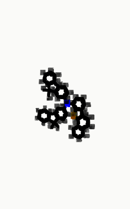 CC1(C)c2ccccc2-c2cc(N(c3ccc4c(c3)C(C)(C)c3ccccc3-4)c3cccc4c3sc3c5ccccc5ccc43)ccc21